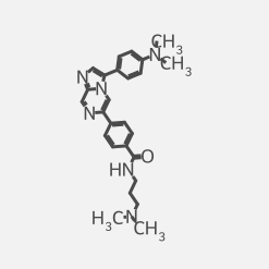 CN(C)CCCNC(=O)c1ccc(-c2cn3c(-c4ccc(N(C)C)cc4)cnc3cn2)cc1